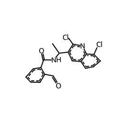 CC(NC(=O)c1ccccc1C=O)c1cc2cccc(Cl)c2nc1Cl